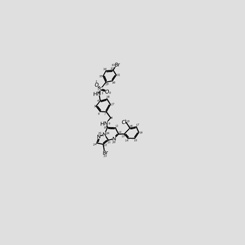 O=S(=O)(Nc1ccc(CNc2cc(-c3ccccc3Cl)nc3c(Br)cnn23)cc1)c1ccc(Br)cc1